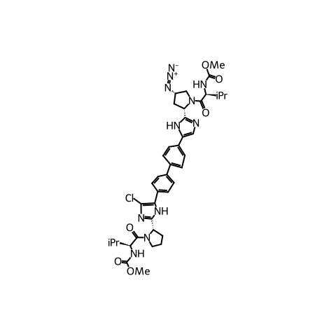 COC(=O)N[C@H](C(=O)N1C[C@@H](N=[N+]=[N-])C[C@H]1c1ncc(-c2ccc(-c3ccc(-c4[nH]c([C@@H]5CCCN5C(=O)[C@@H](NC(=O)OC)C(C)C)nc4Cl)cc3)cc2)[nH]1)C(C)C